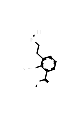 COc1c(CCNC=O)cccc1C(=O)OC(C)(C)C